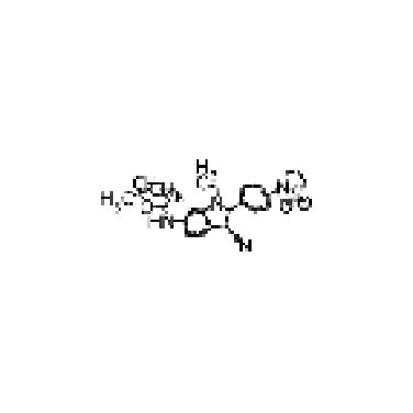 CCN1c2cc(NC(=O)OC(C)(C)C)ccc2C(C#N)C1c1ccc(N2CCCS2(=O)=O)cc1